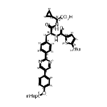 CCCCCCCOc1ccc(-c2cnc(-c3ccc(C[C@H](NC(=O)c4ccc(C(C)(C)C)s4)C(=O)N[C@H](C(=O)O)C4CC4)cc3)nc2)cc1